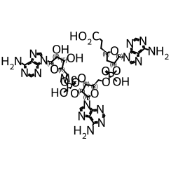 CO[C@H]1[C@@H](OP(=O)(O)OC[C@H]2O[C@@H](n3cnc4c(N)ncnc43)[C@H](O)[C@@H]2O)[C@H](n2cnc3c(N)ncnc32)O[C@@H]1COP(=O)(O)O[C@@H]1C[C@@H](CCC(=O)O)O[C@H]1n1cnc2c(N)ncnc21